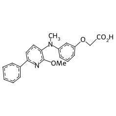 COc1nc(-c2ccccc2)ccc1N(C)c1cccc(OCC(=O)O)c1